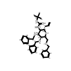 C=CC[C@@H]1OC(COCc2ccccc2)[C@@H](OCc2ccccc2)[C@H](OCc2ccccc2)C1NC(=O)OC(C)(C)C